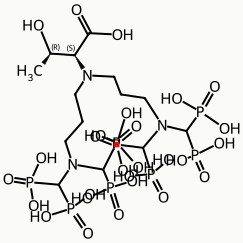 C[C@@H](O)[C@@H](C(=O)O)N(CCCN(C(P(=O)(O)O)P(=O)(O)O)C(P(=O)(O)O)P(=O)(O)O)CCCN(C(P(=O)(O)O)P(=O)(O)O)C(P(=O)(O)O)P(=O)(O)O